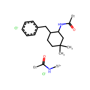 CCC(=O)NC1CC(C)(C)CCC1Cc1ccccc1.CCC(=O)[NH][Ti+2].[Cl-].[Cl-]